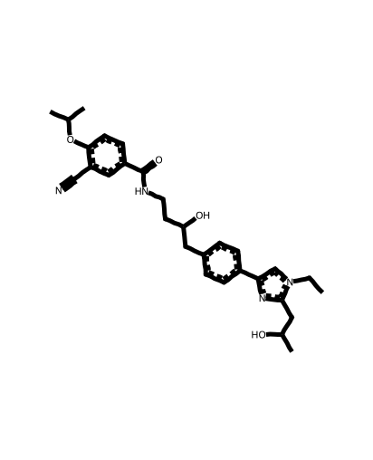 CCn1cc(-c2ccc(CC(O)CCNC(=O)c3ccc(OC(C)C)c(C#N)c3)cc2)nc1CC(C)O